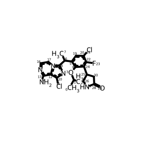 CC(C)Oc1c(C(C)c2nc(Cl)c3c(N)nccn23)cc(Cl)c(F)c1C1CNC(=O)C1